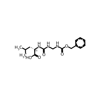 CC(C)C[C@H](NC(=O)NCNC(=O)OCc1ccccc1)C(=O)O